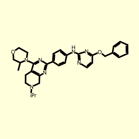 CC(C)N1CCc2c(nc(-c3ccc(Nc4nccc(OCc5ccccc5)n4)cc3)nc2N2CCOCC2C)C1